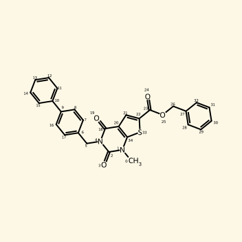 Cn1c(=O)n(Cc2ccc(-c3ccccc3)cc2)c(=O)c2cc(C(=O)OCc3ccccc3)sc21